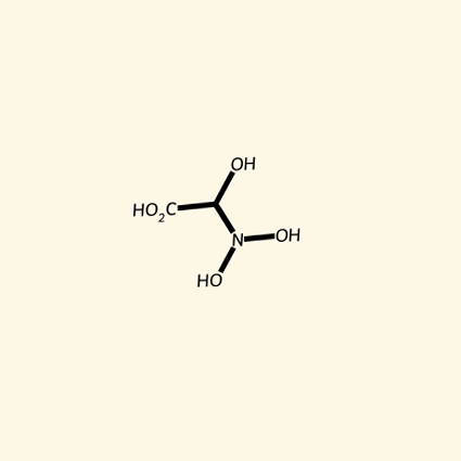 O=C(O)C(O)N(O)O